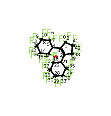 FC1(F)C(C2C(F)(F)C(F)(F)C(F)(F)C(F)(F)C2(F)F)=C(C2C(F)(F)C(F)(F)C(F)(F)C(F)(F)C2(F)F)C(F)(F)C1(F)F